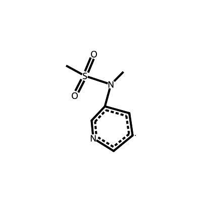 CN(c1c[c]cnc1)S(C)(=O)=O